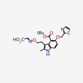 Cc1[nH]c2ccc(OCc3nccs3)c(C(=O)OC(C)(C)C)c2c1CCON=CC(=O)O